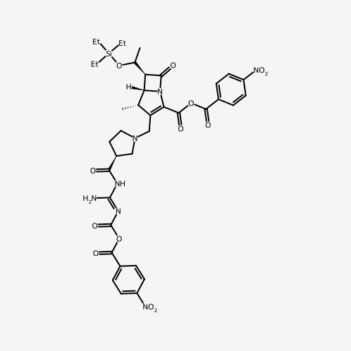 CC[Si](CC)(CC)OC(C)[C@H]1C(=O)N2C(C(=O)OC(=O)c3ccc([N+](=O)[O-])cc3)=C(CN3CC[C@H](C(=O)N/C(N)=N/C(=O)OC(=O)c4ccc([N+](=O)[O-])cc4)C3)[C@H](C)[C@H]12